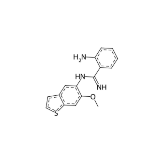 COc1cc2sccc2cc1NC(=N)c1ccccc1N